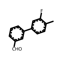 Cc1ccc(-c2cccc(C=O)c2)cc1F